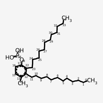 CCCCCCCCCCCCc1c(C)ccc(OP(O)O)c1CCCCCCCCCCCC